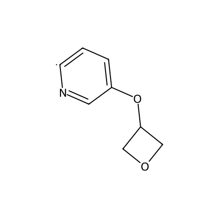 [c]1ccc(OC2COC2)cn1